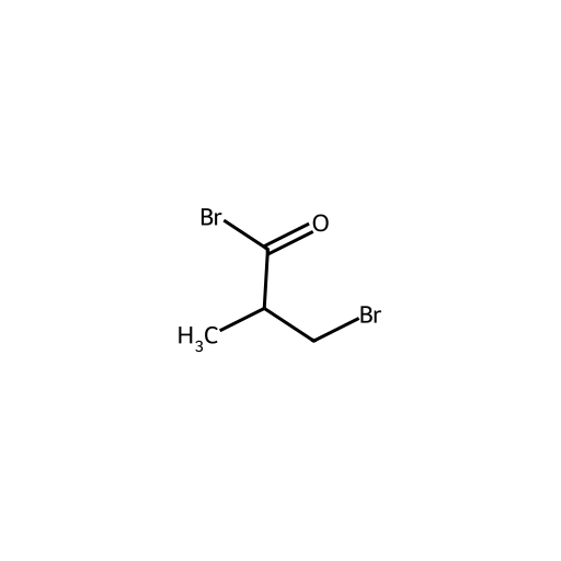 CC(CBr)C(=O)Br